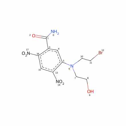 NC(=O)c1cc(N(CCO)CCBr)c([N+](=O)[O-])cc1[N+](=O)[O-]